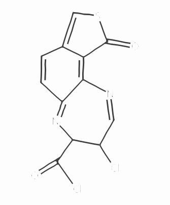 O=C1SC=c2ccc3c(c21)N=CC(Cl)C(C(=O)Cl)N=3